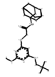 CSc1nc(OCC(=O)NC23CC4CC(CC(C4)C2)C3)cc(OCC(C)(C)C)n1